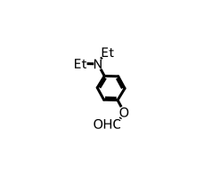 CCN(CC)c1ccc(OC=O)cc1